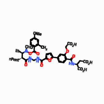 CCCCC[C@@H](C(=O)NCNC(=O)c1ccc(-c2ccc(C(=O)N[C@@H](CC(=O)O)C(=O)O)c(OCC(=O)O)c2)o1)[C@@H](CC)N(C=O)OC(=O)c1ccc(OC)cc1C